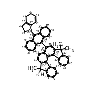 CC1(C)c2ccccc2-c2c1ccc1c(-c3c4ccccc4c(N4CCC5=C4C=CCC5)c4ccccc34)cc3c(c21)-c1ccccc1C3(C)C